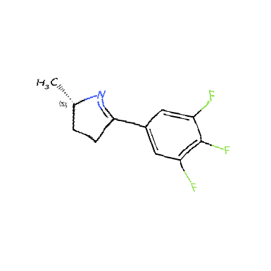 C[C@H]1CCC(c2cc(F)c(F)c(F)c2)=N1